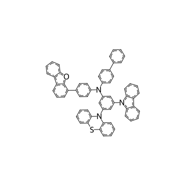 c1ccc(-c2ccc(N(c3ccc(-c4cccc5c4oc4ccccc45)cc3)c3cc(N4c5ccccc5Sc5ccccc54)cc(-n4c5ccccc5c5ccccc54)c3)cc2)cc1